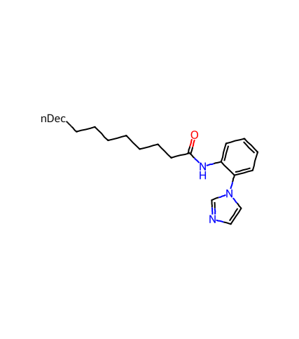 CCCCCCCCCCCCCCCCCC(=O)Nc1ccccc1-n1ccnc1